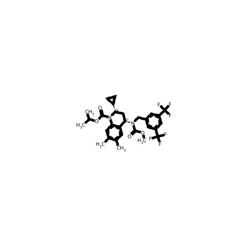 COC(=O)N(Cc1cc(C(F)(F)F)cc(C(F)(F)F)c1)[C@H]1C[C@@H](C2CC2)N(C(=O)OC(C)C)c2cc(C)c(C)cc21